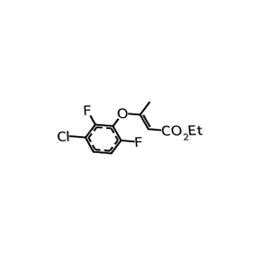 CCOC(=O)C=C(C)Oc1c(F)ccc(Cl)c1F